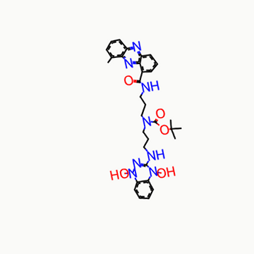 Cc1cccc2nc3cccc(C(=O)NCCCN(CCCNC4=NN(O)c5ccccc5N4O)C(=O)OC(C)(C)C)c3nc12